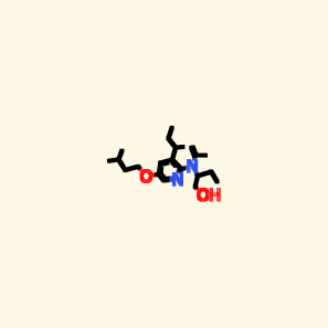 C=C(C)N(c1ncc(OCCC(C)C)cc1C(C)CC)C(CC)CO